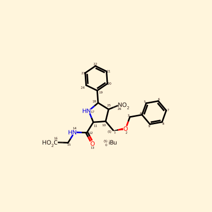 CC[C@H](C)[C@H](OCc1ccccc1)C1C(C(=O)NCC(=O)O)NC(c2ccccc2)C1[N+](=O)[O-]